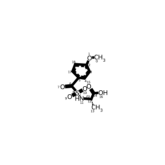 COc1ccc(C(=O)S(=O)(=O)N[C@@H](C)C(=O)O)cc1